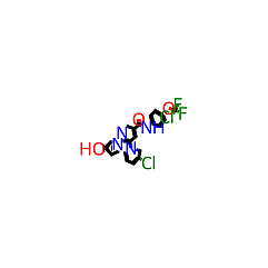 O=C(Nc1ccc(OC(F)(F)Cl)cc1)c1cnc(N2CC[C@@H](O)C2)c(N2C=CC=C(Cl)C2)c1